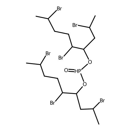 CC(Br)CCC(Br)C(CC(C)Br)O[PH](=O)OC(CC(C)Br)C(Br)CCC(C)Br